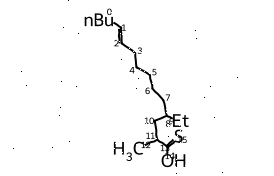 CCCC/C=C/CCCCCC(CC)CC(C)C(O)=S